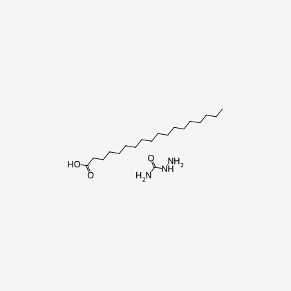 CCCCCCCCCCCCCCCCCC(=O)O.NNC(N)=O